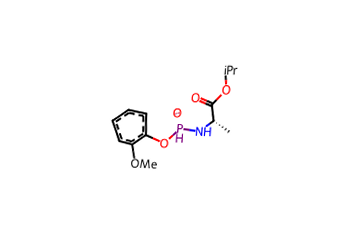 COc1ccccc1O[PH](=O)N[C@@H](C)C(=O)OC(C)C